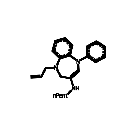 C=CCN1CC(NCCCCC)=CN(c2ccccc2)c2ccccc21